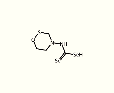 [Se]=C([SeH])NN1CCOSC1